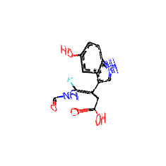 O=CNC(F)=C(CC(=O)O)c1c[nH]c2ccc(O)cc12